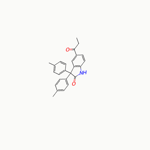 CCC(=O)c1ccc2c(c1)C(c1ccc(C)cc1)(c1ccc(C)cc1)C(=O)N2